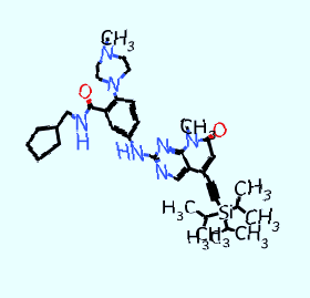 CC(C)[Si](C#Cc1cc(=O)n(C)c2nc(Nc3ccc(N4CCN(C)CC4)c(C(=O)NCC4CCCC4)c3)ncc12)(C(C)C)C(C)C